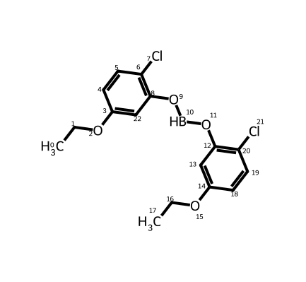 CCOc1ccc(Cl)c(OBOc2cc(OCC)ccc2Cl)c1